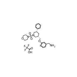 NCc1ccnc(OC[C@H]2C[C@@H](c3ccccc3)CN(S(=O)(=O)N3CCOCC3)C2)c1.O=C(O)C(F)(F)F